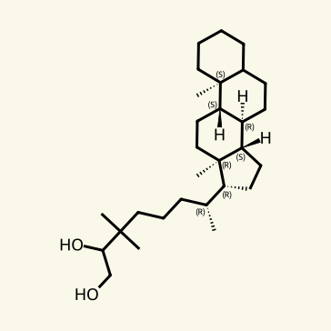 C[C@H](CCCC(C)(C)C(O)CO)[C@H]1CC[C@H]2[C@@H]3CCC4CCCC[C@]4(C)[C@H]3CC[C@]12C